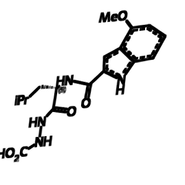 COc1cccc2[nH]c(C(=O)N[C@@H](CC(C)C)C(=O)NNC(=O)O)cc12